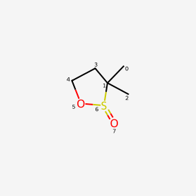 CC1(C)CCOS1=O